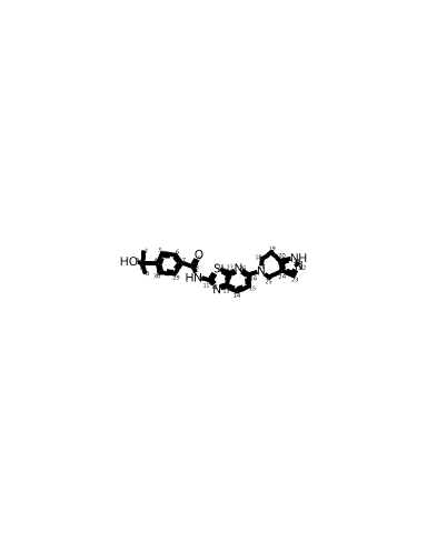 CC(C)(O)c1ccc(C(=O)Nc2nc3ccc(N4CCc5[nH]ncc5C4)nc3s2)cc1